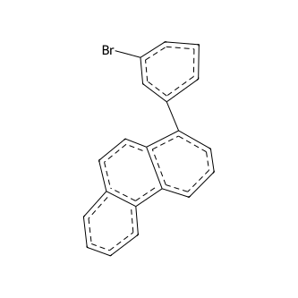 Brc1cccc(-c2cccc3c2ccc2ccccc23)c1